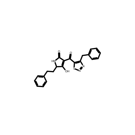 O=C1NC(CCc2ccccc2)C(O)=C1C(=O)c1snnc1Cc1ccccc1